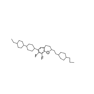 CCCC1CCC(CCC2CCc3cc(C4CCC(C5CCC(CC)CC5)CC4)c(F)c(F)c3O2)CC1